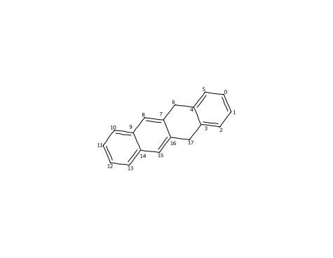 c1ccc2c(c1)Cc1cc3ccccc3cc1C2